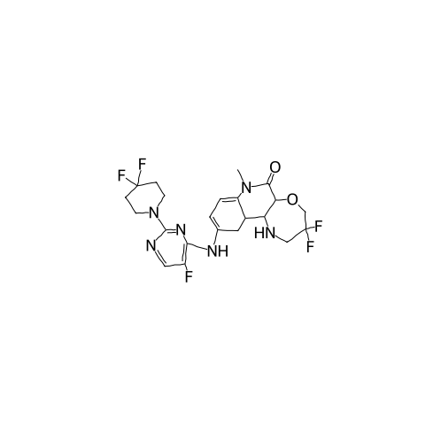 CN1C(=O)C2OCC(F)(F)CNC2C2CC(Nc3nc(N4CCC(F)(F)CC4)ncc3F)=CC=C21